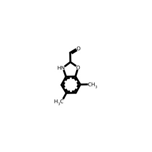 Cc1cc(C)c2c(c1)NC(C=O)O2